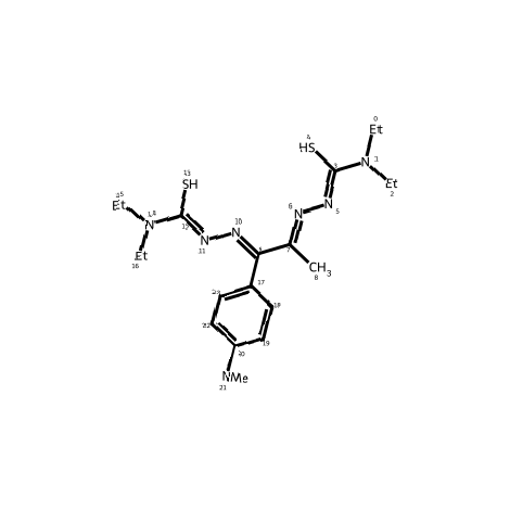 CCN(CC)/C(S)=N/N=C(C)/C(=N/N=C(\S)N(CC)CC)c1ccc(NC)cc1